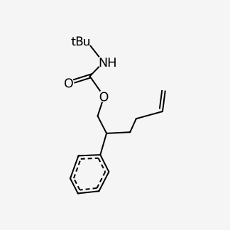 C=CCCC(COC(=O)NC(C)(C)C)c1ccccc1